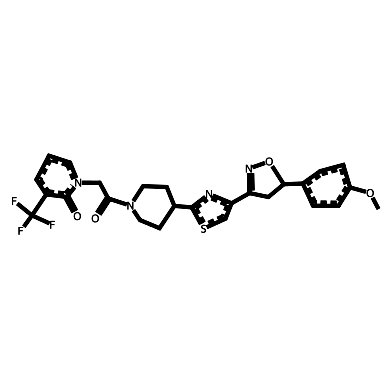 COc1ccc(C2CC(c3csc(C4CCN(C(=O)Cn5cccc(C(F)(F)F)c5=O)CC4)n3)=NO2)cc1